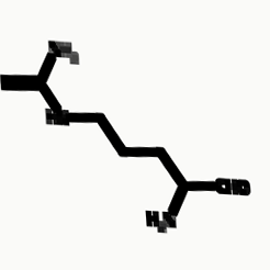 C=C(N)NCCCC(N)C=O